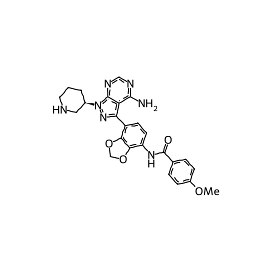 COc1ccc(C(=O)Nc2ccc(-c3nn([C@@H]4CCCNC4)c4ncnc(N)c34)c3c2OCO3)cc1